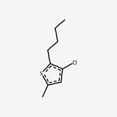 CCCCc1sc(C)cc1Cl